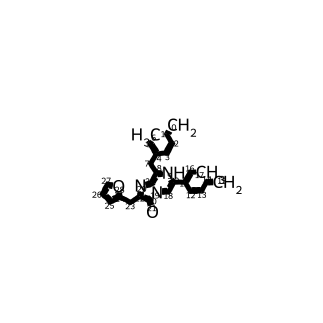 C=C/C=C\C(=C/C)Cc1[nH]c(C(/C=C\C=C)=C/C)cn2c(=O)c(Cc3ccco3)nc1-2